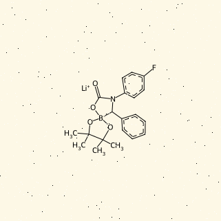 CC1(C)O[B-]2(OC(=O)N(c3ccc(F)cc3)C2c2ccccc2)OC1(C)C.[Li+]